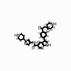 O=C(Nc1cnn(C2CCNCC2)c1)c1cnc2[nH]cc(-c3ccc4c(c3)OC3(CCNCC3)CC4=O)c2c1